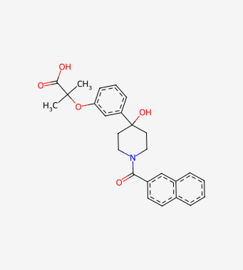 CC(C)(Oc1cccc(C2(O)CCN(C(=O)c3ccc4ccccc4c3)CC2)c1)C(=O)O